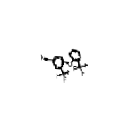 N#Cc1ccc(Oc2ccccc2C(F)(F)F)c(C(F)(F)F)c1